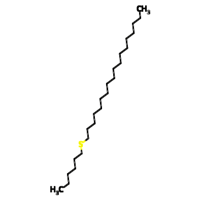 CCCCCCCCCCCCCCCCCCSCCCCCC